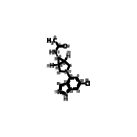 CC(=O)N[C@@H]1[C@@H]2CN(c3cc(Cl)cc4[nH]ncc34)C[C@@H]21